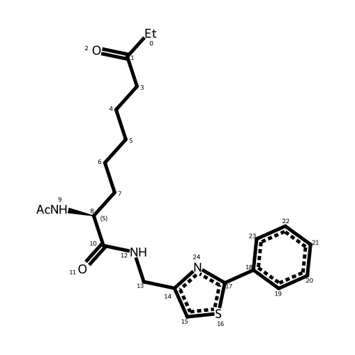 CCC(=O)CCCCC[C@H](NC(C)=O)C(=O)NCc1csc(-c2ccccc2)n1